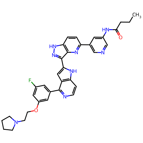 CCCC(=O)Nc1cncc(-c2ccc3[nH]nc(-c4cc5c(-c6cc(F)cc(OCCN7CCCC7)c6)nccc5[nH]4)c3n2)c1